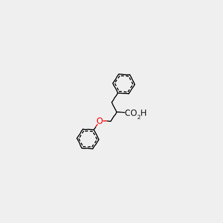 O=C(O)C(COc1ccccc1)Cc1ccccc1